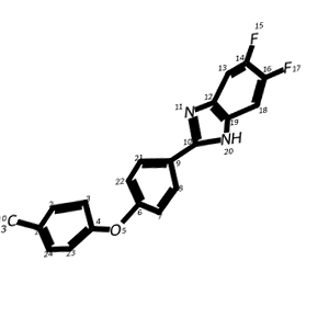 Cc1ccc(Oc2ccc(-c3nc4cc(F)c(F)cc4[nH]3)cc2)cc1